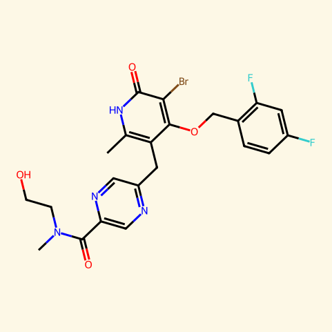 Cc1[nH]c(=O)c(Br)c(OCc2ccc(F)cc2F)c1Cc1cnc(C(=O)N(C)CCO)cn1